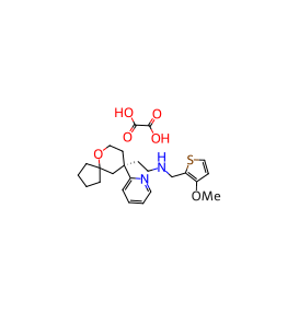 COc1ccsc1CNCC[C@@]1(c2ccccn2)CCOC2(CCCC2)C1.O=C(O)C(=O)O